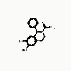 NC(=S)N1CCc2cc(O)c(O)cc2C1c1ccccc1